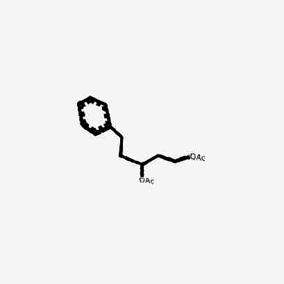 CC(=O)OCCC(CCc1ccccc1)OC(C)=O